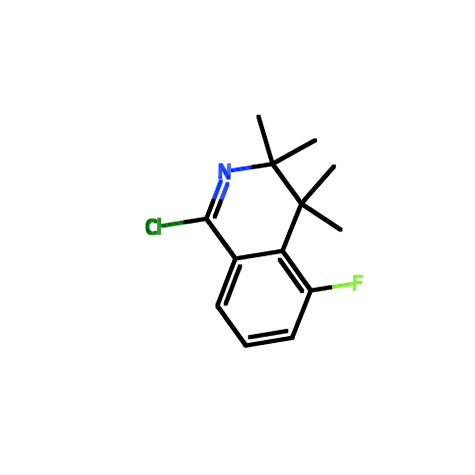 CC1(C)N=C(Cl)c2cccc(F)c2C1(C)C